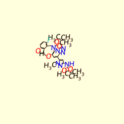 Cn1nc(NC(=O)OC(C)(C)C)cc1-c1cc2c(n3cnnc13)N(C(=O)OC(C)(C)C)Cc1c(F)ccc3c1[C@H](CO3)CO2